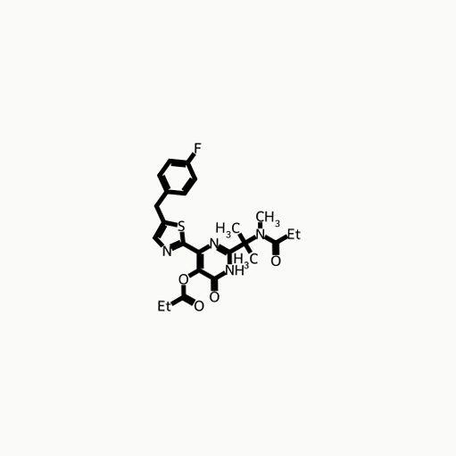 CCC(=O)Oc1c(-c2ncc(Cc3ccc(F)cc3)s2)nc(C(C)(C)N(C)C(=O)CC)[nH]c1=O